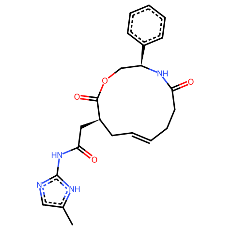 Cc1cnc(NC(=O)C[C@@H]2C/C=C/CCC(=O)N[C@H](c3ccccc3)COC2=O)[nH]1